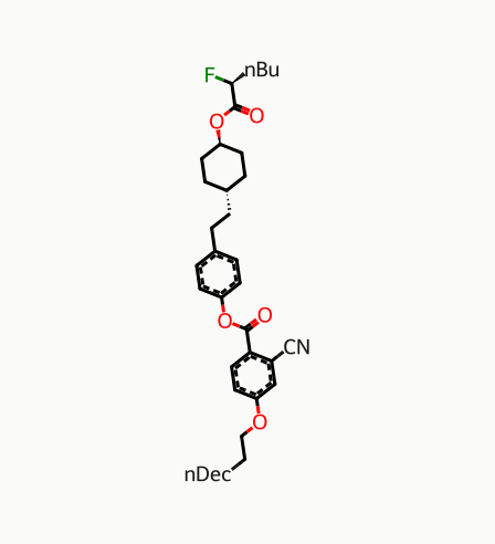 CCCCCCCCCCCCOc1ccc(C(=O)Oc2ccc(CC[C@H]3CC[C@H](OC(=O)[C@@H](F)CCCC)CC3)cc2)c(C#N)c1